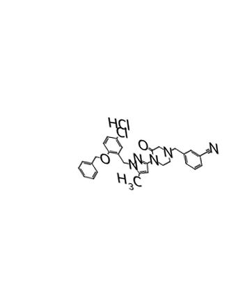 Cc1cc(N2CCN(Cc3cccc(C#N)c3)CC2=O)nn1Cc1cc(Cl)ccc1OCc1ccccc1.Cl